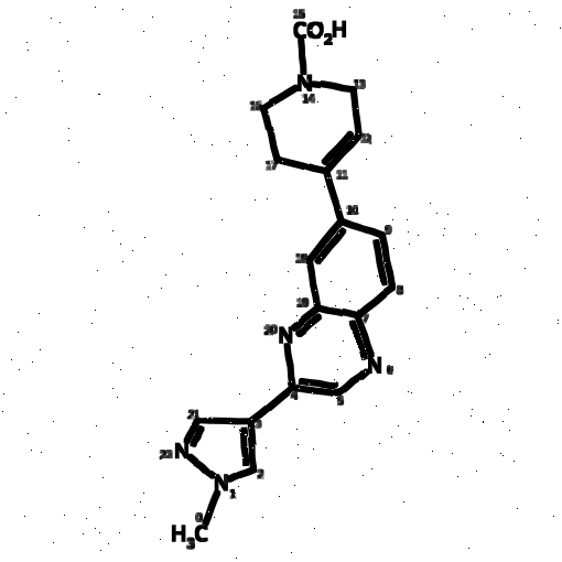 Cn1cc(-c2cnc3ccc(C4=CCN(C(=O)O)CC4)cc3n2)cn1